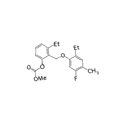 CCc1cc(C)c(F)cc1OCc1c(CC)cccc1OC(=O)OC